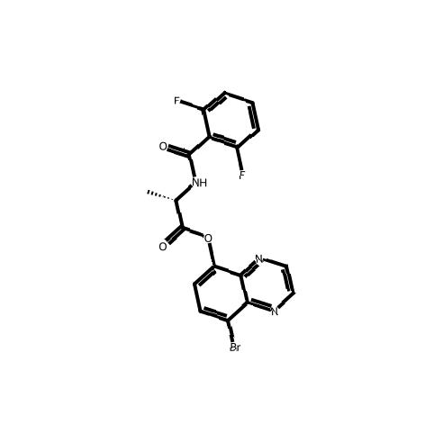 C[C@H](NC(=O)c1c(F)cccc1F)C(=O)Oc1ccc(Br)c2nccnc12